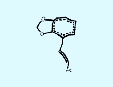 CC(=O)C=Cc1cccc2c1OCO2